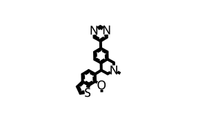 COc1c(C2CN(C)Cc3cc(-c4cncnc4)ccc32)ccc2ccsc12